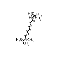 CC(C)[C@H](C)COCCCSCCNC(C)(C)C